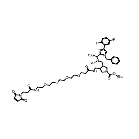 CC(=O)N(CC1CN(C(=O)OC(C)(C)C)CC1CNC(=O)CCOCCOCCOCCOCCNC(=O)CCN1C(=O)C=CC1=O)C(c1nc(-c2cc(F)ccc2F)cn1Cc1ccccc1)C(C)(C)C